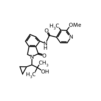 COc1nccc(C(=O)Nc2cccc3c2C(=O)N(C(C2CC2)C(C)(C)O)C3)c1C